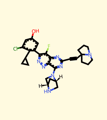 Oc1cc(Cl)c(C2CC2)c(-c2nnc3c(N4C[C@@H]5C[C@H]4CN5)nc(C#CC45CCCN4CCC5)nc3c2F)c1